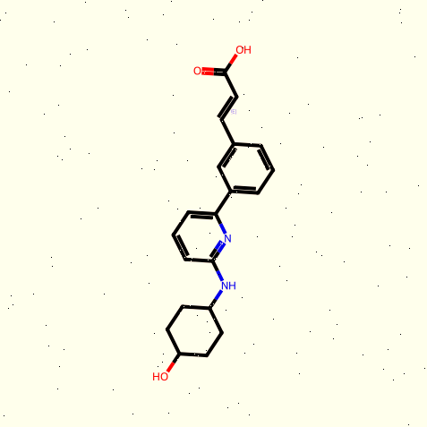 O=C(O)/C=C/c1cccc(-c2cccc(NC3CCC(O)CC3)n2)c1